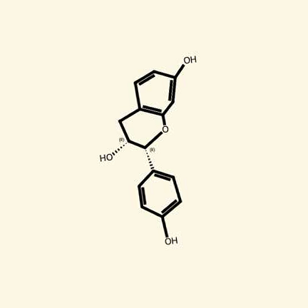 Oc1ccc([C@H]2Oc3cc(O)ccc3C[C@H]2O)cc1